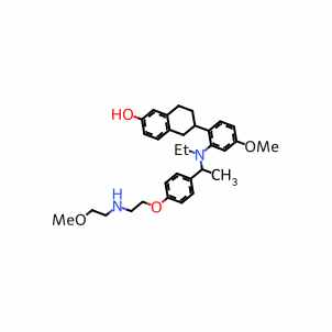 CCN(c1cc(OC)ccc1C1CCc2cc(O)ccc2C1)C(C)c1ccc(OCCNCCOC)cc1